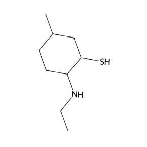 CCNC1CCC(C)CC1S